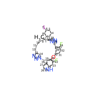 CC1(c2cccc(I)c2)CCCCc2cn(nn2)Cc2c(c(F)cc3[nH]ccc23)Oc2ccc(F)c(c2)-c2ncc1[nH]2